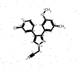 COc1cc(C)cc(-c2nn(CC#N)cc2-c2ccnc(Cl)c2)c1